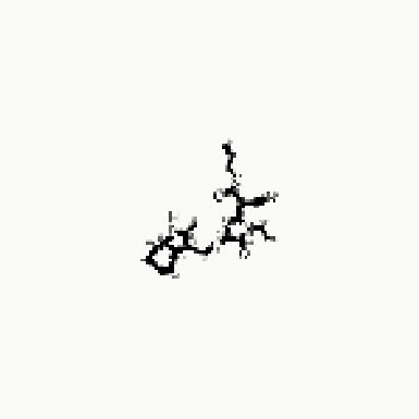 C=CCOC(=O)/C(C#N)=c1\sc(=C=Cc2c(C)[nH]c3ccccc23)c(=O)n1CC